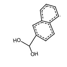 OC(O)c1ccc2[c]cccc2c1